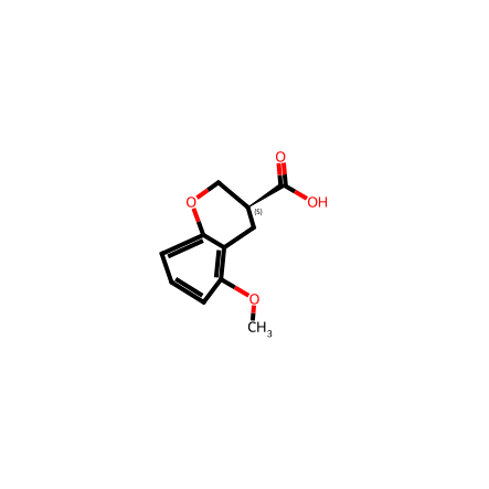 COc1cccc2c1C[C@H](C(=O)O)CO2